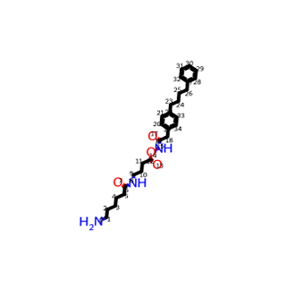 NCCCCCC(=O)NCCCC(=O)ONC(=O)Cc1ccc(CCCCc2ccccc2)cc1